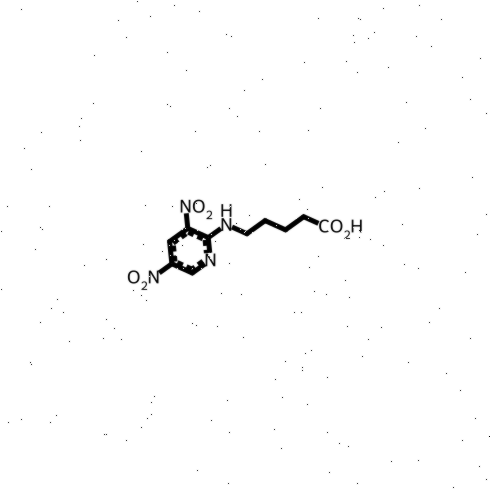 O=C(O)CCCCNc1ncc([N+](=O)[O-])cc1[N+](=O)[O-]